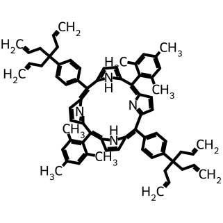 C=CCC(CC=C)(CC=C)c1ccc(-c2c3nc(c(-c4c(C)cc(C)cc4C)c4ccc([nH]4)c(-c4ccc(C(CC=C)(CC=C)CC=C)cc4)c4nc(c(-c5c(C)cc(C)cc5C)c5ccc2[nH]5)C=C4)C=C3)cc1